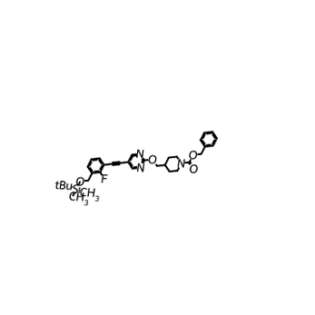 CC(C)(C)[Si](C)(C)OCc1cccc(C#Cc2cnc(OCC3CCN(C(=O)OCc4ccccc4)CC3)nc2)c1F